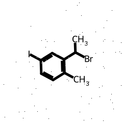 Cc1ccc(I)cc1C(C)Br